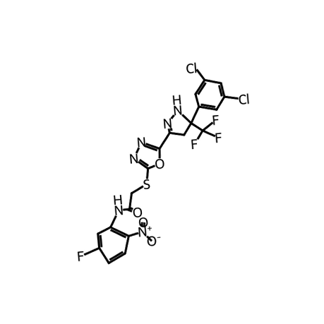 O=C(CSc1nnc(C2=NNC(c3cc(Cl)cc(Cl)c3)(C(F)(F)F)C2)o1)Nc1cc(F)ccc1[N+](=O)[O-]